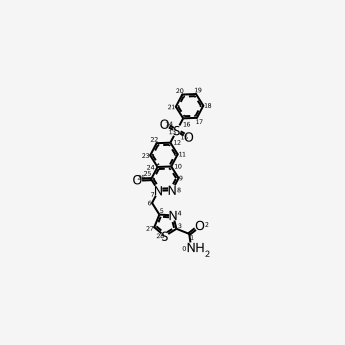 NC(=O)c1nc(Cn2ncc3cc(S(=O)(=O)c4ccccc4)ccc3c2=O)cs1